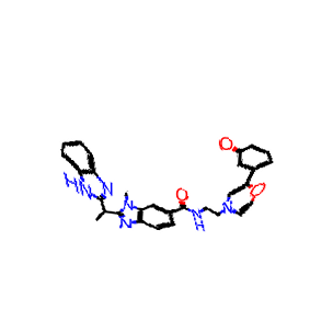 CC(c1nc2ccccc2[nH]1)c1nc2ccc(C(=O)NCCN3C=COC(C4=CC=CC(=O)C4)=C3)cc2n1C